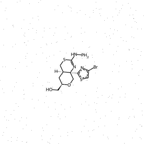 OC[C@H]1C[C@H]2CSC(NP)=N[C@@]2(c2nc(Br)cs2)CO1